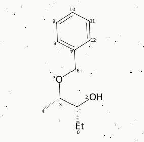 CC[C@@H](O)[C@H](C)OCc1ccccc1